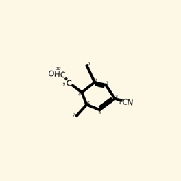 CC1=CC(C#N)=CC(C)C1CC=O